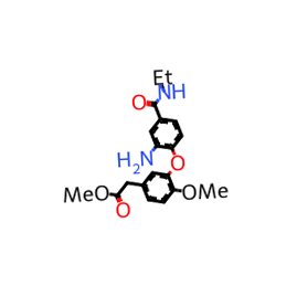 CCNC(=O)c1ccc(Oc2cc(CC(=O)OC)ccc2OC)c(N)c1